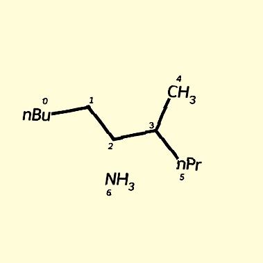 CCCCCCC(C)CCC.N